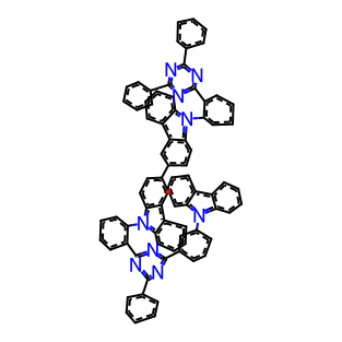 c1ccc(-c2nc(-c3ccccc3)nc(-c3ccccc3-n3c4ccccc4c4cc(-c5ccc6c(c5)c5ccccc5n6-c5ccccc5-c5nc(-c6ccccc6)nc(-c6cccc(-n7c8ccccc8c8ccccc87)c6)n5)ccc43)n2)cc1